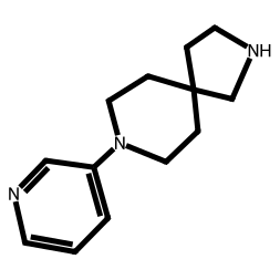 c1cncc(N2CCC3(CCNC3)CC2)c1